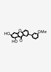 COc1cccc(-c2ccc3oc4cc(O)cc(O)c4c(=O)c3c2)c1